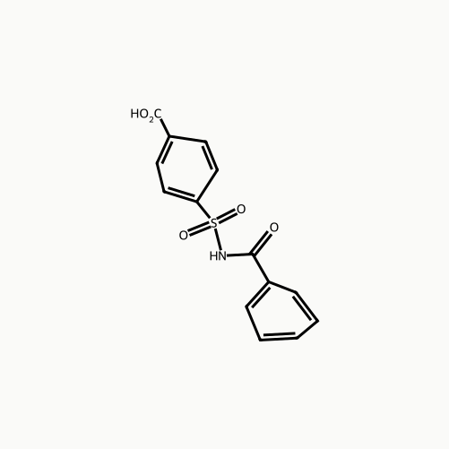 O=C(O)c1ccc(S(=O)(=O)NC(=O)c2ccccc2)cc1